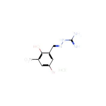 Cl.N=C(N)N/N=C/c1cc(Br)cc([N+](=O)[O-])c1O